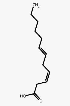 CCCCCC=CC/C=C\CC(=O)O